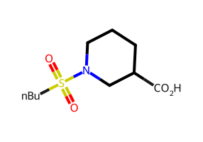 CCCCS(=O)(=O)N1CCCC(C(=O)O)C1